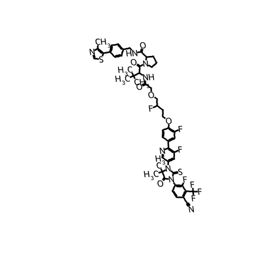 Cc1ncsc1-c1ccc(CNC(=O)C2CCCN2C(=O)C(NC(=O)COCC(F)CCOc2ccc(-c3ncc(N4C(=S)N(c5ccc(C#N)c(C(F)(F)F)c5F)C(=O)C4(C)C)cc3F)cc2F)C(C)(C)C)cc1